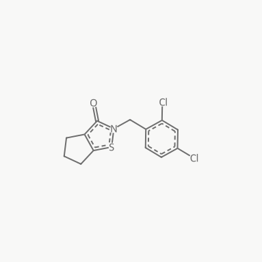 O=c1c2c(sn1Cc1ccc(Cl)cc1Cl)CCC2